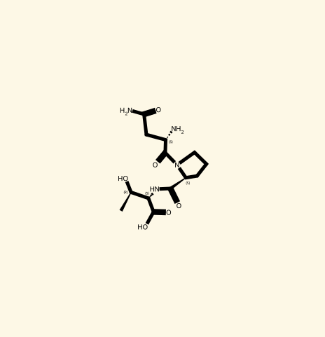 C[C@@H](O)[C@H](NC(=O)[C@@H]1CCCN1C(=O)[C@@H](N)CC(N)=O)C(=O)O